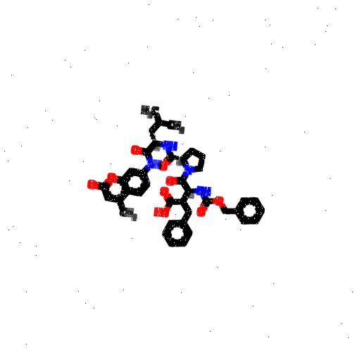 Cc1cc(=O)oc2cc(NC(=O)[C@H](CC(C)C)NC(=O)[C@@H]3CCCN3C(=O)[C@@H](NC(=O)OCc3ccccc3)C(Cc3ccccc3)C(=O)O)ccc12